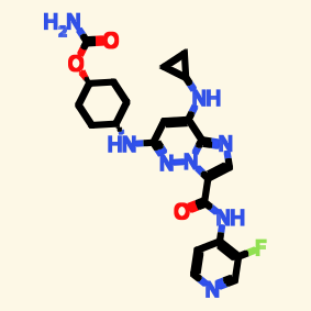 NC(=O)O[C@H]1CC[C@H](Nc2cc(NC3CC3)c3ncc(C(=O)Nc4ccncc4F)n3n2)CC1